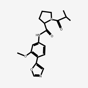 COc1cc(NC(=O)C2CCCN2C(=O)C(C)C)ccc1-c1cnco1